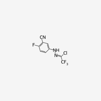 N#Cc1cc(NN=C(Cl)C(F)(F)F)ccc1F